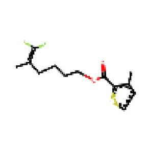 CC(CCCCOC(=O)c1sccc1C)=C(F)F